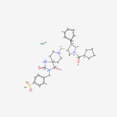 CS(=O)(=O)c1ccc(CN2C(=O)NC3(CCN(C[C@H]4CN(C(=O)C5CCCC5)C[C@@H]4c4ccccc4)CC3)C2=O)cc1.Cl